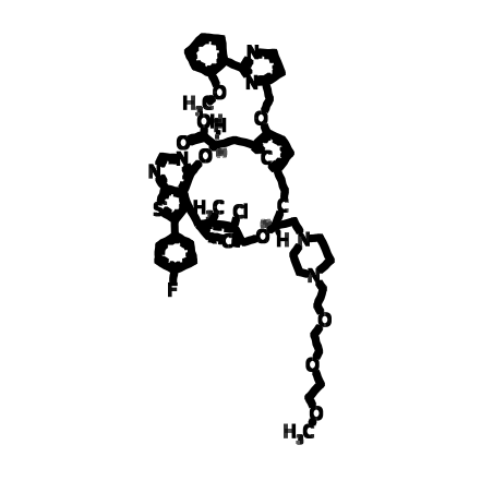 COCCOCCOCCN1CCN(C[C@@H]2CCc3ccc(OCc4ccnc(-c5ccccc5OC)n4)c(c3)C[C@H](C(=O)O)Oc3ncnc4sc(-c5ccc(F)cc5)c(c34)-c3ccc(c(Cl)c3C)O2)CC1